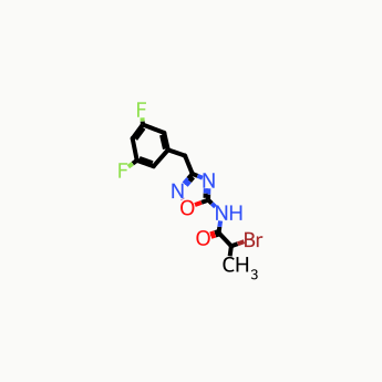 CC(Br)C(=O)Nc1nc(Cc2cc(F)cc(F)c2)no1